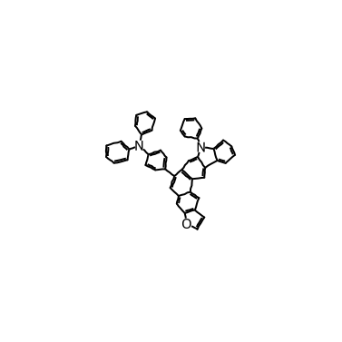 c1ccc(N(c2ccccc2)c2ccc(-c3cc4cc5occc5cc4c4cc5c6ccccc6n(-c6ccccc6)c5cc34)cc2)cc1